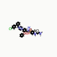 CN(C)CCCN(C)c1ccc(S(=O)(=O)NC(=O)c2ccc(N3CCN(Cc4ccccc4-c4ccc(Cl)cc4)CC3)cc2Oc2ccccc2)cc1[N+](=O)[O-]